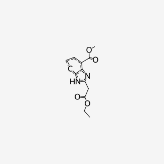 CCOC(=O)Cc1nc2c(C(=O)OC)cccc2[nH]1